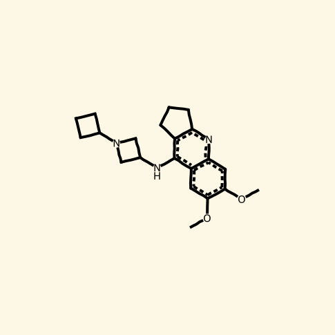 COc1cc2nc3c(c(NC4CN(C5CCC5)C4)c2cc1OC)CCC3